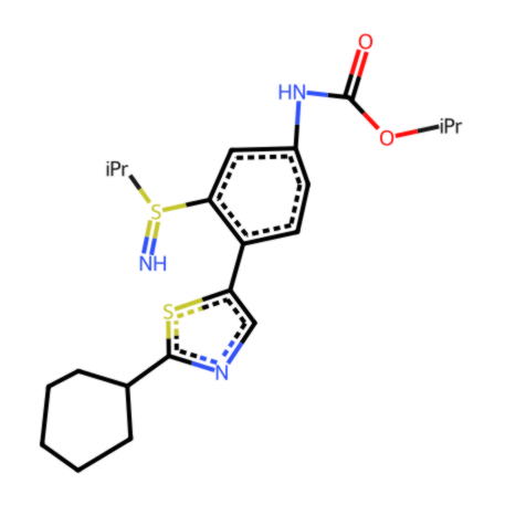 CC(C)OC(=O)Nc1ccc(-c2cnc(C3CCCCC3)s2)c(S(=N)C(C)C)c1